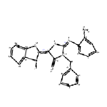 CN1/C(=C2/S/C(=N/c3ccccc3N)N(Cc3ccccc3)C2=O)Sc2ccccc21